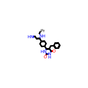 CC(C)CN/C(=C\C=N)C1=CCC(c2[nH]c(=O)[nH]c(=O)c2Cc2ccccc2)CC1